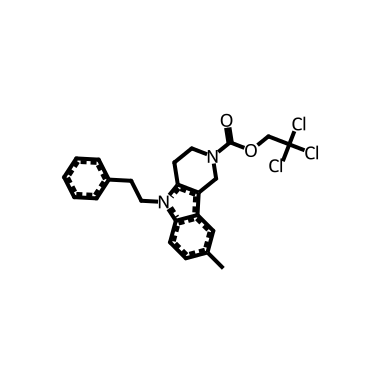 Cc1ccc2c(c1)c1c(n2CCc2ccccc2)CCN(C(=O)OCC(Cl)(Cl)Cl)C1